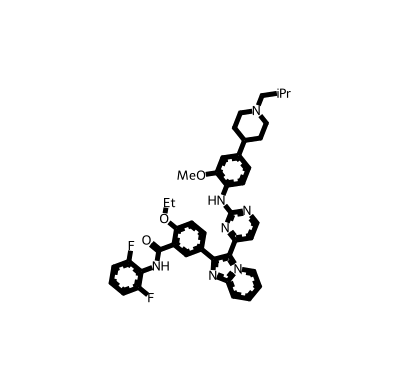 CCOc1ccc(-c2nc3ccccn3c2-c2ccnc(Nc3ccc(C4CCN(CC(C)C)CC4)cc3OC)n2)cc1C(=O)Nc1c(F)cccc1F